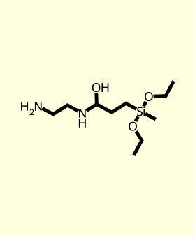 CCO[Si](C)(CCC(O)NCCN)OCC